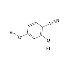 CCOc1ccc([N+]#N)c(OCC)c1